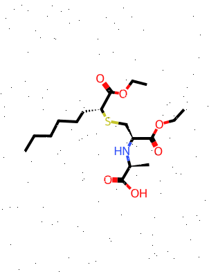 CCCCCC[C@@H](SC[C@H](N[C@@H](C)C(=O)O)C(=O)OCC)C(=O)OCC